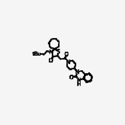 CC(C)(C)CCN1C(=O)C(CC(=O)N2CCC(N3Cc4ccccc4NC3=O)CC2)SC12CCCCCC2